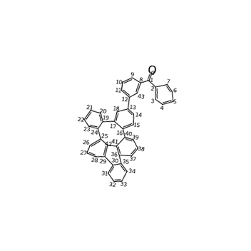 O=C(c1ccccc1)c1cccc(-c2ccc3c(c2)c2ccccc2c2cccc4c5ccccc5c5cccc3c5c24)c1